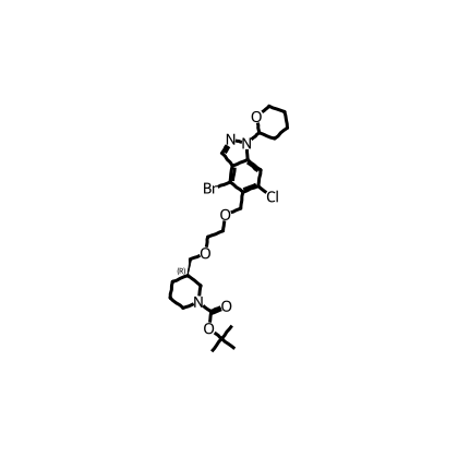 CC(C)(C)OC(=O)N1CCC[C@@H](COCCOCc2c(Cl)cc3c(cnn3C3CCCCO3)c2Br)C1